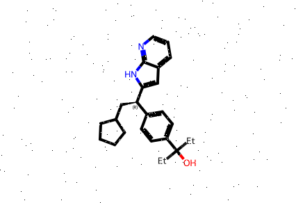 CCC(O)(CC)c1ccc([C@@H](CC2CCCC2)c2cc3cccnc3[nH]2)cc1